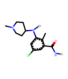 CCNC(=O)c1cc(Cl)cc(N(CC)C2CCN(C)CC2)c1C